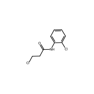 O=C(CCCl)Nc1ccccc1Cl